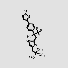 CC(C)(C)Cc1c[nH]c(CC(O)(c2ccc(-c3cc[nH]n3)cc2)C(F)(F)F)n1